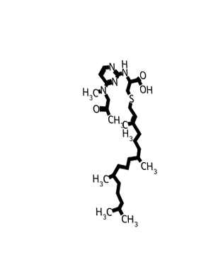 CC(=O)CN(C)c1ccnc(NC(CSC/C=C(\C)CCCC(C)CCCC(C)CCCC(C)C)C(=O)O)n1